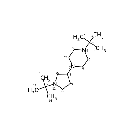 CC(C)(C)N1CCN(C2CCN(C(C)(C)C)C2)CC1